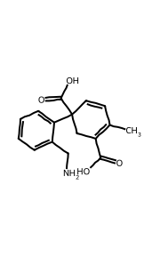 CC1=C(C(=O)O)CC(C(=O)O)(c2ccccc2CN)C=C1